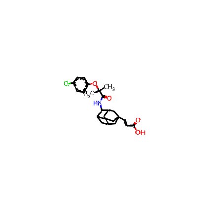 CC(C)(Oc1ccc(Cl)cc1)C(=O)NC1C2CC3CC1CC(C=CC(=O)O)(C3)C2